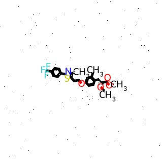 CCO[C@@H](Cc1ccc(OCCc2sc(-c3ccc(C(F)(F)F)cc3)nc2C)cc1CC)C(=O)OC